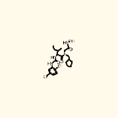 CCC(C)C(NC(=O)Nc1cc(Cl)ccc1Cl)C(=O)N(CC(=O)NO)CC1CCCC1